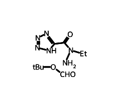 CC(C)(C)OC=O.CCN(N)C(=O)c1nnn[nH]1